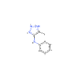 Cc1[nH]nnc1[N]c1ccccc1